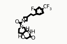 O=C1CO[C@H]2CCN(C(=O)N3CC(CCc4ccc(C(F)(F)F)cc4F)C3)C[C@@H]2N1